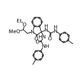 CCOC(CN1C(=O)C(NC(=O)Nc2ccc(C)cc2)(NC(=O)Nc2ccc(C)cc2)c2ccccc21)OC